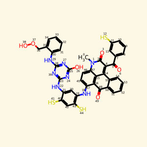 Cn1c(=O)c(C(=O)c2cccc(S)c2)c2c3c(c(Nc4cc(Nc5nc(O)nc(Nc6ccccc6COO)n5)c(S)cc4S)ccc31)C(=O)c1ccccc1-2